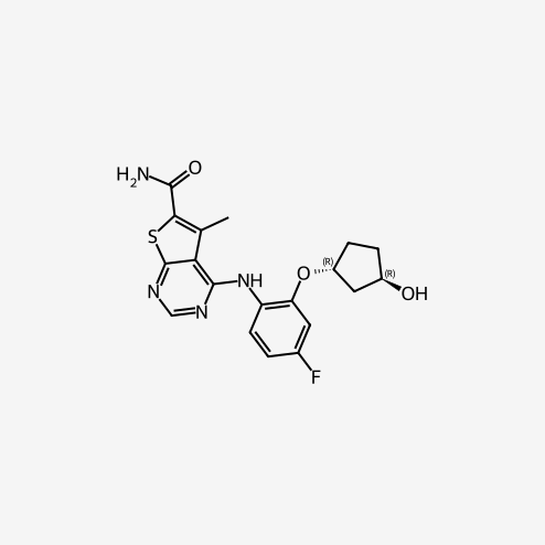 Cc1c(C(N)=O)sc2ncnc(Nc3ccc(F)cc3O[C@@H]3CC[C@@H](O)C3)c12